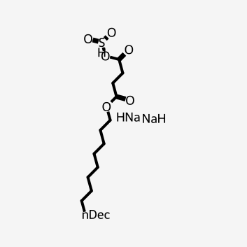 CCCCCCCCCCCCCCCCCCOC(=O)CCC(=O)O[SH](=O)=O.[NaH].[NaH]